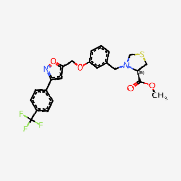 COC(=O)[C@@H]1CSCN1Cc1cccc(OCc2cc(-c3ccc(C(F)(F)F)cc3)no2)c1